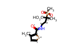 Cc1ccsc1C(=O)NCCC(C)(C(=O)O)S(C)(=O)=O